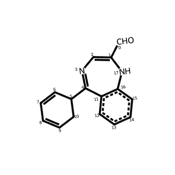 O=CC1=CN=C(C2C=CC=CC2)c2ccccc2N1